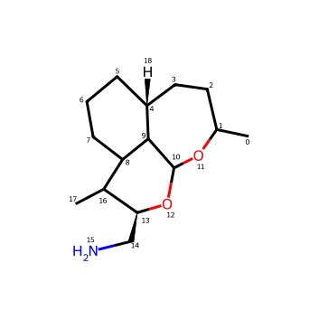 CC1CC[C@H]2CCCC3C2C(O1)O[C@@H](CN)C3C